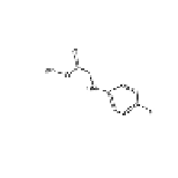 CC(C)OC(=O)CNc1ccc(F)cc1